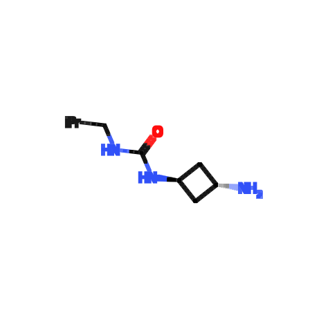 CC(C)CNC(=O)N[C@H]1C[C@H](N)C1